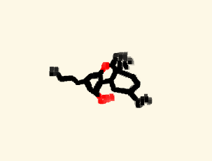 C=C1Oc2cc(C/C=C/CC)cc(O)c2C2C=C(C)CC[C@@H]12